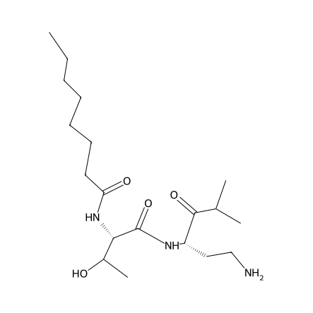 CCCCCCCC(=O)N[C@H](C(=O)N[C@@H](CCN)C(=O)C(C)C)C(C)O